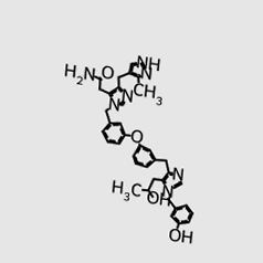 Cc1n[nH]cc1Cc1ncn(Cc2cccc(Oc3cccc(Cc4ncn(Cc5cccc(O)c5)c4CC(C)O)c3)c2)c1CC(N)=O